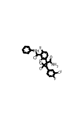 NC(=O)C1(c2ccc(F)c(C(=O)Nc3ccccc3)c2F)C(c2ccc(F)c(Cl)c2)C1(Cl)Cl